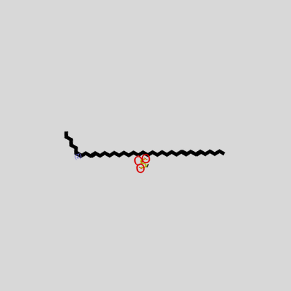 CCCCCC=CCC=CCCCCCCCCC(CCCCCCCCC=CC/C=C\CCCCC)OS(C)(=O)=O